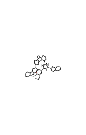 C1=Cc2cc(-c3nc(-c4ccc5ccccc5c4)nc(-c4cccc5oc6ccc(-c7ccc8oc9ccccc9c8c7)cc6c45)n3)ccc2CC1